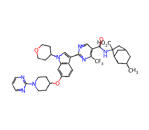 CC1CC2CC(C1)C(NC(=O)c1cnc(-c3cn(C4CCOCC4)c4cc(OC5CCN(c6ncccn6)CC5)ccc34)nc1C(F)(F)F)(C(=O)O)C2